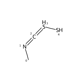 CN=C=[SH]S